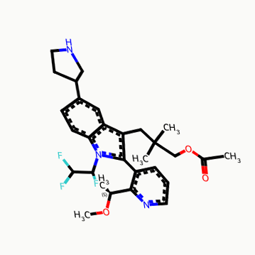 CO[C@@H](C)c1ncccc1-c1c(CC(C)(C)COC(C)=O)c2cc(C3CCNC3)ccc2n1C(F)C(F)F